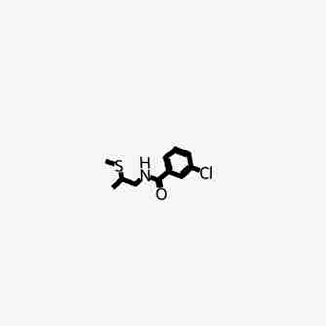 CSC(C)CNC(=O)c1cccc(Cl)c1